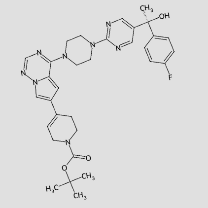 CC(C)(C)OC(=O)N1CC=C(c2cc3c(N4CCN(c5ncc([C@@](C)(O)c6ccc(F)cc6)cn5)CC4)ncnn3c2)CC1